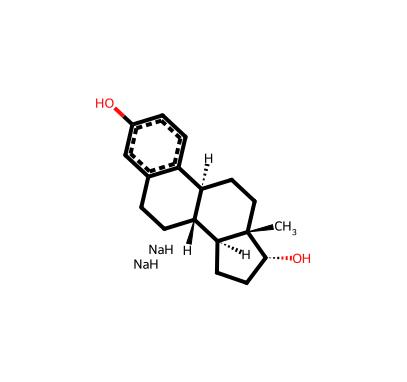 C[C@]12CC[C@@H]3c4ccc(O)cc4CC[C@H]3[C@@H]1CC[C@H]2O.[NaH].[NaH]